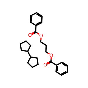 C1CCC(C2CCCC2)C1.O=C(OCCCOC(=O)c1ccccc1)c1ccccc1